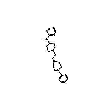 CN(c1ncccn1)C1CCC(CCN2CCN(c3ccccc3)CC2)CC1